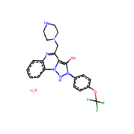 O.OC1=C2C(CN3CCNCC3)=Nc3ccccc3N2NN1c1ccc(OC(F)(F)F)cc1